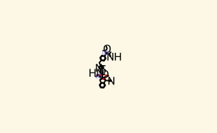 C=CC1=C(/C=C\C)C2c3ccccc3C1(C#N)CC2(C)C(=O)Nc1nc(Cc2ccc(/C(C(C)=N)=C(\C)OC)cc2)cs1